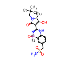 CCC(C)(C)CN1C(=O)C(C2=N[P@](=O)(CC)c3cc(CS(N)(=O)=O)ccc3N2)=C(O)C1C(C)(C)C